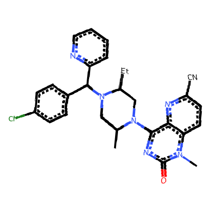 CCC1CN(c2nc(=O)n(C)c3ccc(C#N)nc23)C(C)CN1C(c1ccc(Cl)cc1)c1ccccn1